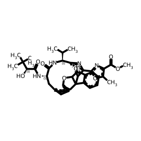 COC(=O)c1nc(-c2nc3oc2C24c5ccccc5NC2Oc2ccc(cc24)C[C@H](NC(=O)[C@@H](O)C(C)(C)C)C(=O)N[C@H]3C(C)C)oc1C